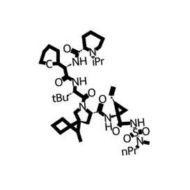 C=C[C@@H]1C[C@]1(NC(=O)[C@@H]1C[C@@]2(CN1C(=O)[C@@H](NC(=O)[C@@H](NC(=O)[C@@H]1CCCCN1C(C)C)C1CCCCC1)C(C)(C)C)C(C)C21CCC1)C(=O)NS(=O)(=O)N(C)CCC